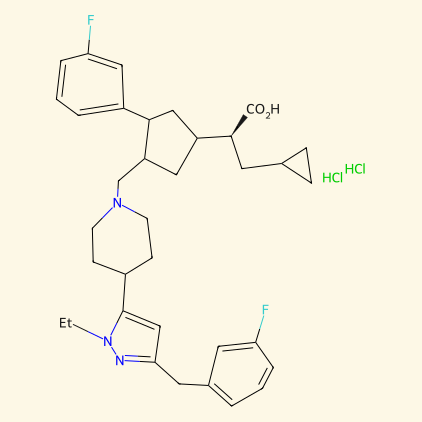 CCn1nc(Cc2cccc(F)c2)cc1C1CCN(CC2CC([C@H](CC3CC3)C(=O)O)CC2c2cccc(F)c2)CC1.Cl.Cl